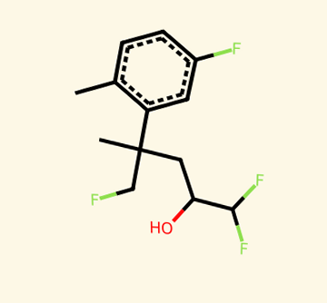 Cc1ccc(F)cc1C(C)(CF)CC(O)C(F)F